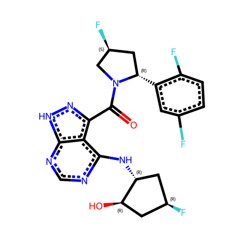 O=C(c1n[nH]c2ncnc(N[C@@H]3C[C@@H](F)C[C@H]3O)c12)N1C[C@@H](F)C[C@@H]1c1cc(F)ccc1F